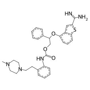 CN1CCN(CCc2ccccc2NC(=O)OCC(Oc2cccc3sc(C(=N)N)cc23)c2ccccc2)CC1